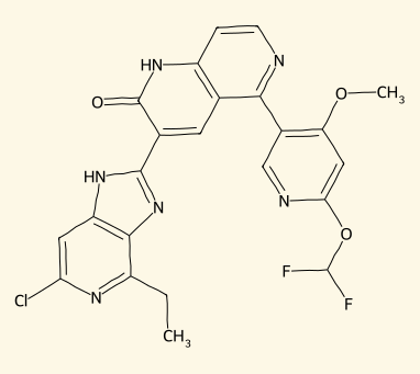 CCc1nc(Cl)cc2[nH]c(-c3cc4c(-c5cnc(OC(F)F)cc5OC)nccc4[nH]c3=O)nc12